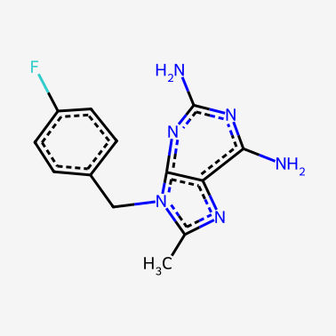 Cc1nc2c(N)nc(N)nc2n1Cc1ccc(F)cc1